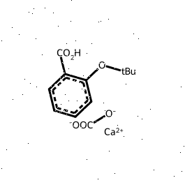 CC(C)(C)Oc1ccccc1C(=O)O.O=C([O-])[O-].[Ca+2]